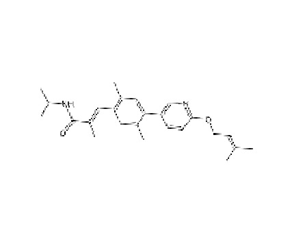 CC(C)=CCOc1ccc(-c2cc(C)c(/C=C(\C)C(=O)NC(C)C)cc2C)cn1